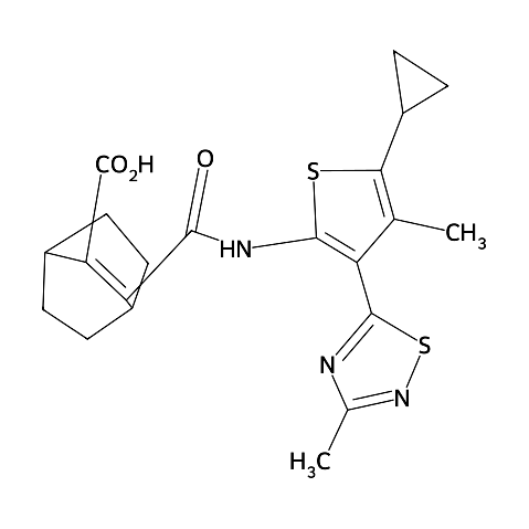 Cc1nsc(-c2c(NC(=O)C3=C(C(=O)O)C4CCC3CC4)sc(C3CC3)c2C)n1